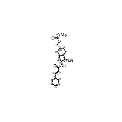 CNC(=O)OC[C@@H]1CCc2c(sc(NC(=O)/C=C/c3cccnc3)c2C#N)C1